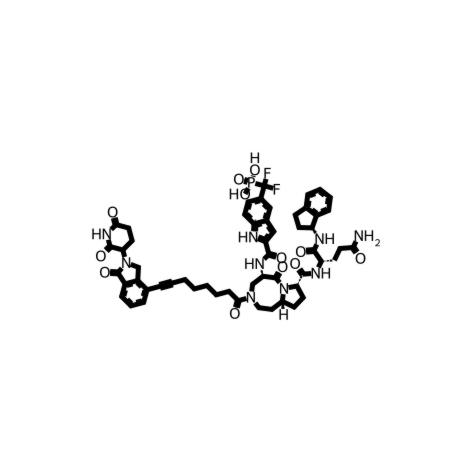 NC(=O)CC[C@H](NC(=O)[C@@H]1CC[C@@H]2CCN(C(=O)CCCCCC#Cc3cccc4c3CN(C3CCC(=O)NC3=O)C4=O)C[C@H](NC(=O)c3cc4cc(C(F)(F)P(=O)(O)O)ccc4[nH]3)C(=O)N21)C(=O)N[C@H]1CCc2ccccc21